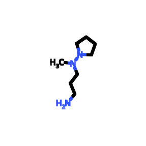 CN(CCCN)N1CCCC1